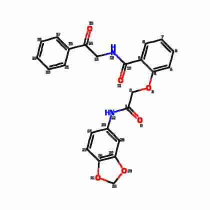 O=C(COc1ccccc1C(=O)NCC(=O)c1ccccc1)Nc1ccc2c(c1)OCO2